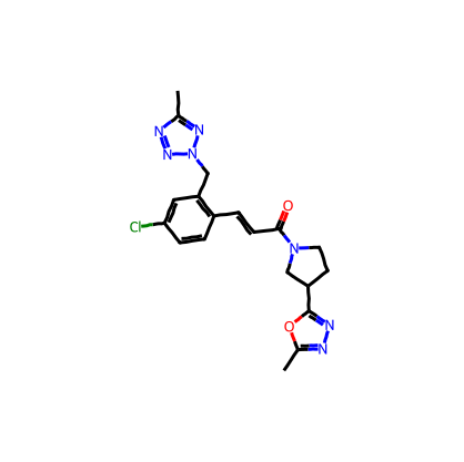 Cc1nnn(Cc2cc(Cl)ccc2C=CC(=O)N2CCC(c3nnc(C)o3)C2)n1